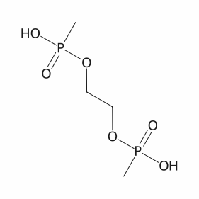 CP(=O)(O)OCCOP(C)(=O)O